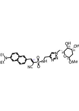 CCN(CC)c1ccc2cc(/C=C(\C#N)S(=O)(=O)NCc3cn(C[C@H]4O[C@H](OC)C[C@@H](O)[C@@H]4O)nn3)ccc2c1